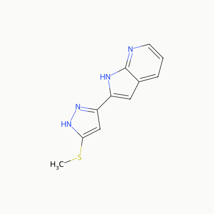 CSc1cc(-c2cc3cccnc3[nH]2)n[nH]1